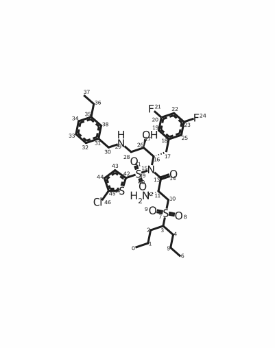 CCCC(CCC)S(=O)(=O)C[C@H](N)C(=O)N([C@@H](Cc1cc(F)cc(F)c1)[C@H](O)CNCc1cccc(CC)c1)S(=O)(=O)c1ccc(Cl)s1